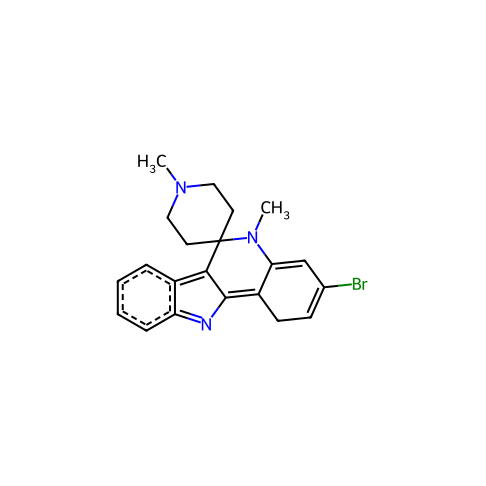 CN1CCC2(CC1)C1=c3ccccc3=NC1=C1CC=C(Br)C=C1N2C